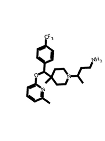 Cc1cccc(OC(c2ccc(C(F)(F)F)cc2)C2(C)CCN(C(C)CCN)CC2)n1